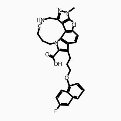 Cc1c2c(nn1C)CNCCCCn1c(C(=O)O)c(CCCOc3cccc4cc(F)ccc34)c3ccc(Cl)c-2c31